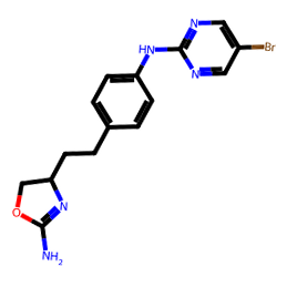 NC1=NC(CCc2ccc(Nc3ncc(Br)cn3)cc2)CO1